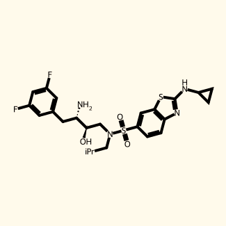 CC(C)CN(C[C@@H](O)[C@@H](N)Cc1cc(F)cc(F)c1)S(=O)(=O)c1ccc2nc(NC3CC3)sc2c1